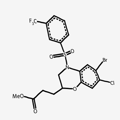 COC(=O)CCC1CN(S(=O)(=O)c2cccc(C(F)(F)F)c2)c2cc(Br)c(Cl)cc2O1